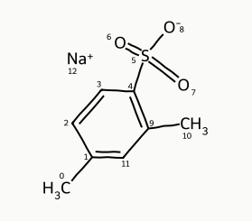 Cc1ccc(S(=O)(=O)[O-])c(C)c1.[Na+]